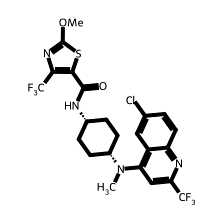 COc1nc(C(F)(F)F)c(C(=O)N[C@H]2CC[C@@H](N(C)c3cc(C(F)(F)F)nc4ccc(Cl)cc34)CC2)s1